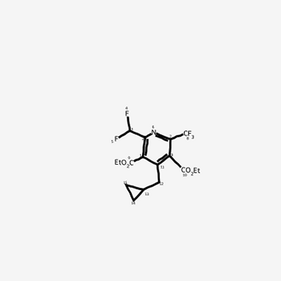 CCOC(=O)c1c(C(F)F)nc(C(F)(F)F)c(C(=O)OCC)c1CC1CC1